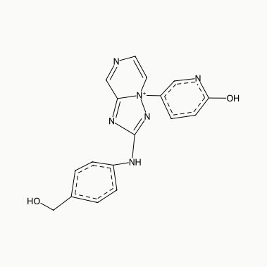 OCc1ccc(NC2=N[N+]3(c4ccc(O)nc4)C=CN=CC3=N2)cc1